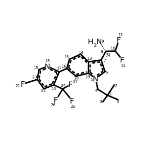 CC(C)(C)Cn1cc([C@H](N)C(F)F)c2ccc(-c3ncc(F)cc3C(F)(F)F)cc21